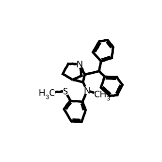 CSc1ccccc1N(C)C1C2CCN(C2)C1C(c1ccccc1)c1ccccc1